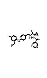 O=C(NC1(C(=O)NCc2ccc(Oc3ccc(Cl)cc3CF)cc2)CC1)c1cncnc1